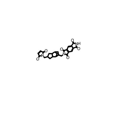 O=C1C=CC(=O)N1CC1CC2C3CC(Cn4c(=O)c5cc6c(=O)[nH]c(=O)c6cc5c4=O)C(C3)C2C1